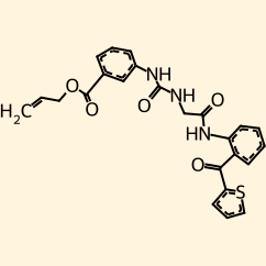 C=CCOC(=O)c1cccc(NC(=O)NCC(=O)Nc2ccccc2C(=O)c2cccs2)c1